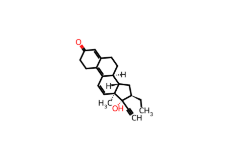 C#C[C@]1(O)[C@H](CC)C[C@H]2[C@@H]3CCC4=CC(=O)CCC4=C3C=C[C@@]21C